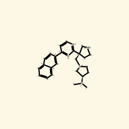 CN(C)[C@@H]1CCN(C[C@]2(c3nccc(-c4ccc5ccccc5c4)n3)CCNC2)C1